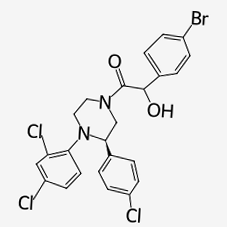 O=C(C(O)c1ccc(Br)cc1)N1CCN(c2ccc(Cl)cc2Cl)[C@H](c2ccc(Cl)cc2)C1